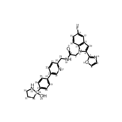 O=C(Cn1c(-c2ncco2)cc2cc(F)ccc21)NCc1ccc(-c2ccc(S3(O)CCCN3)cc2)cn1